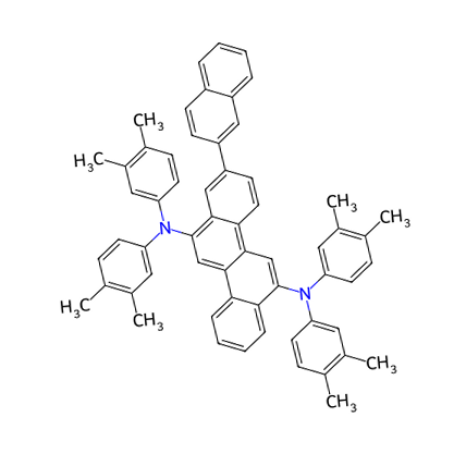 Cc1ccc(N(c2ccc(C)c(C)c2)c2cc3c4ccc(-c5ccc6ccccc6c5)cc4c(N(c4ccc(C)c(C)c4)c4ccc(C)c(C)c4)cc3c3ccccc23)cc1C